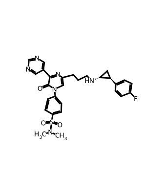 CN(C)S(=O)(=O)c1ccc(-n2cc(CCCN[C@@H]3C[C@H]3c3ccc(F)cc3)nc(-c3cncnc3)c2=O)cc1